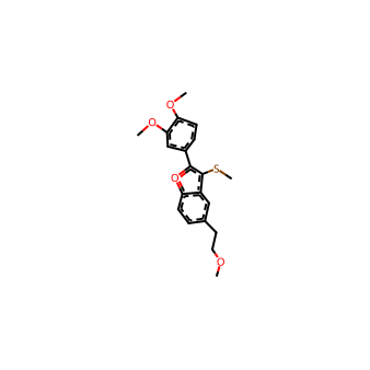 COCCc1ccc2oc(-c3ccc(OC)c(OC)c3)c(SC)c2c1